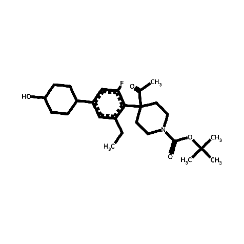 CCc1cc(C2CCC(O)CC2)cc(F)c1C1(C(C)=O)CCN(C(=O)OC(C)(C)C)CC1